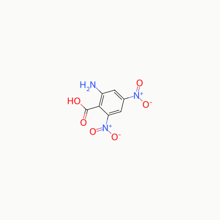 Nc1cc([N+](=O)[O-])cc([N+](=O)[O-])c1C(=O)O